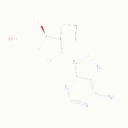 Nc1ncnc2c1ncn2[C@@H]1O[C@H](CO)[C@@H](O)[C@]12CCS2